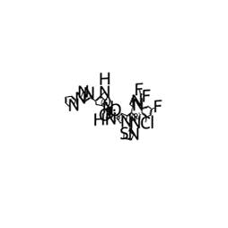 O=S(=O)(N[C@H]1CC2=C(c3ccn(C(F)F)n3)[C@H](c3ccc(F)cc3Cl)N=C(c3nccs3)N2C1)N1C2CC(c3cn(-c4ccccn4)nn3)=C3NC4C1[C@]342